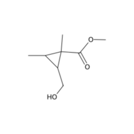 COC(=O)C1(C)C(C)C1CO